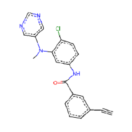 C#Cc1cccc(C(=O)Nc2ccc(Cl)c(N(C)c3cncnc3)c2)c1